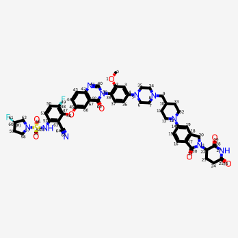 COc1cc(N2CCN(CC3CCN(c4ccc5c(c4)CN(C4CCC(=O)NC4=O)C5=O)CC3)CC2)ccc1-n1cnc2ccc(Oc3c(F)ccc(NS(=O)(=O)N4CC[C@@H](F)C4)c3C#N)cc2c1=O